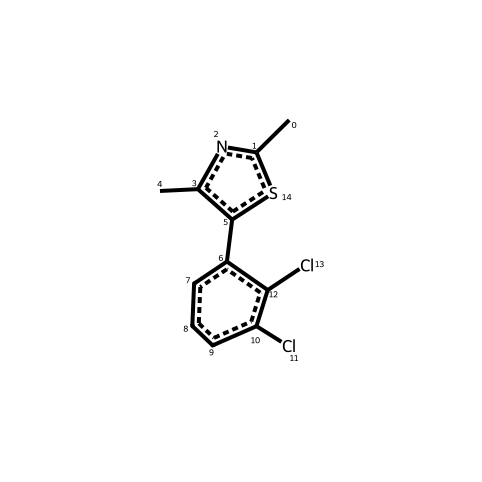 Cc1nc(C)c(-c2cccc(Cl)c2Cl)s1